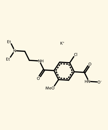 CCN(CC)CCNC(=O)c1cc(Cl)c(C(=O)N[O-])cc1OC.[K+]